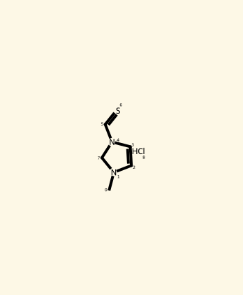 CN1C=CN(C=S)C1.Cl